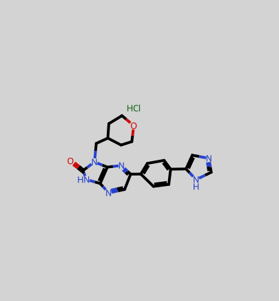 Cl.O=c1[nH]c2ncc(-c3ccc(-c4cnc[nH]4)cc3)nc2n1CC1CCOCC1